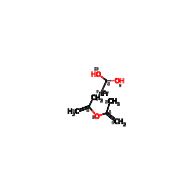 C=C(C)OC(=C)C.CCCC(O)O